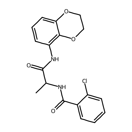 CC(NC(=O)c1ccccc1Cl)C(=O)Nc1cccc2c1OCCO2